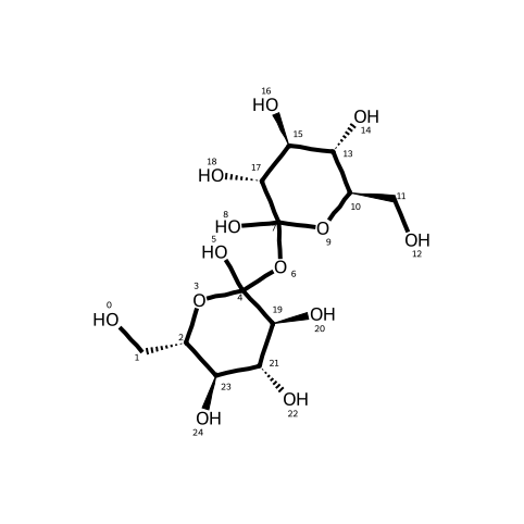 OC[C@@H]1OC(O)(OC2(O)O[C@H](CO)[C@@H](O)[C@H](O)[C@H]2O)[C@@H](O)[C@H](O)[C@H]1O